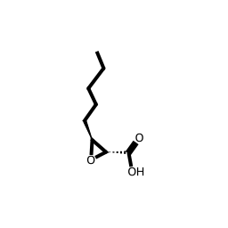 CCCCC[C@@H]1O[C@H]1C(=O)O